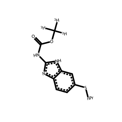 [2H]C([2H])([2H])OC(=O)Nc1nc2ccc(SCCC)cc2[nH]1